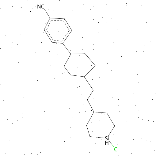 N#Cc1ccc(C2CCC(CCC3CC[SiH](Cl)CC3)CC2)cc1